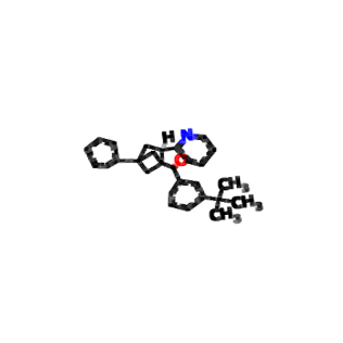 CC(C)(C)c1cccc(C(=O)C23CC(c4ccccc4)(C[C@H]2c2ccccn2)C3)c1